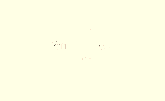 COC(OC)C(OC)OC.OCCO